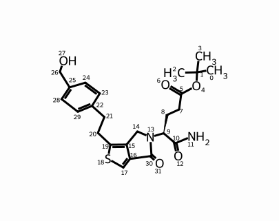 CC(C)(C)OC(=O)CC[C@@H](C(N)=O)N1Cc2c(csc2CCc2ccc(CO)cc2)C1=O